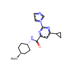 CO[C@H]1CC[C@H](NC(=O)c2cc(C3CC3)nc(-n3ccnc3)n2)CC1